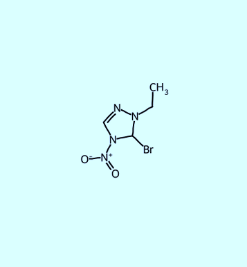 CCN1N=CN([N+](=O)[O-])C1Br